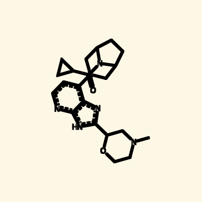 CN1CCOC(c2nc3c(N4CC5CCC(C4)N5C(=O)C4CC4)ccnc3[nH]2)C1